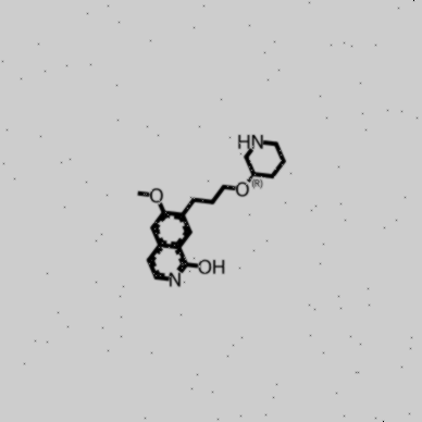 COc1cc2ccnc(O)c2cc1CCCO[C@@H]1CCCNC1